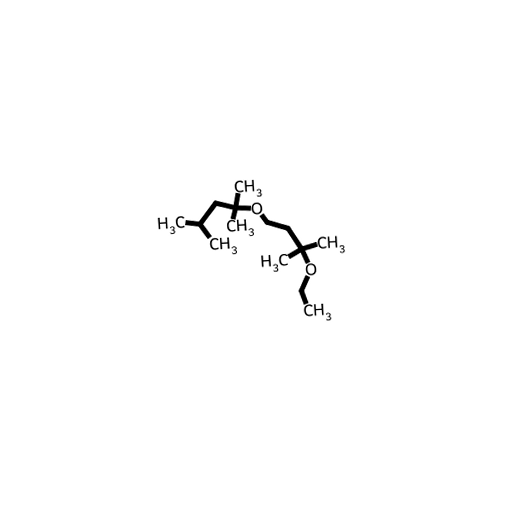 CCOC(C)(C)CCOC(C)(C)CC(C)C